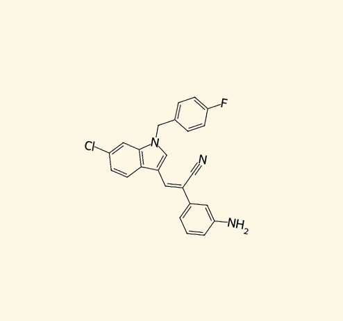 N#C/C(=C\c1cn(Cc2ccc(F)cc2)c2cc(Cl)ccc12)c1cccc(N)c1